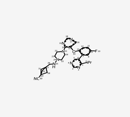 CC(C)c1ncncc1-c1cc(F)ccc1Oc1cncnc1N1CCN(NCC23CC(C#N)(C2)C3)CC1